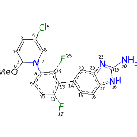 COC1C=CC(Cl)=CN1c1ccc(F)c(-c2ccc3[nH]c(N)nc3c2)c1F